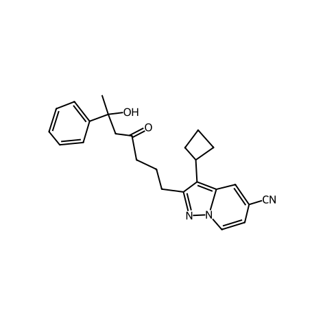 CC(O)(CC(=O)CCCc1nn2ccc(C#N)cc2c1C1CCC1)c1ccccc1